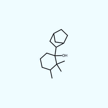 CC1CCCC(O)(C2CC3CCC2C3)C1(C)C